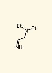 CCN(CC)CC=N